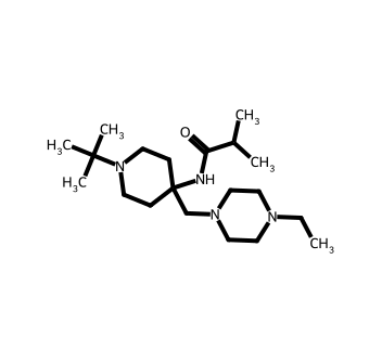 CCN1CCN(CC2(NC(=O)C(C)C)CCN(C(C)(C)C)CC2)CC1